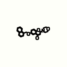 O=c1cc(N2CCOCC2)oc2ccc(OCc3cccc4ccccc34)cc12